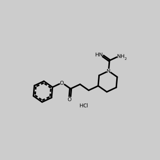 Cl.N=C(N)N1CCCC(CCC(=O)Oc2ccccc2)C1